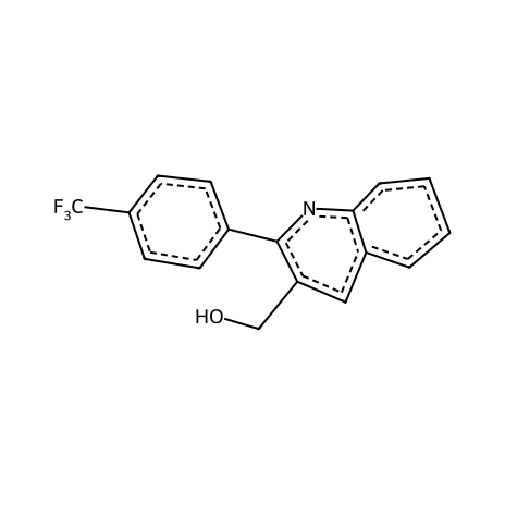 OCc1cc2ccccc2nc1-c1ccc(C(F)(F)F)cc1